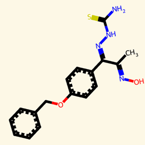 CC(=NO)C(=NNC(N)=S)c1ccc(OCc2ccccc2)cc1